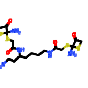 NCCC(CCCCNC(=O)CSC1(N)SCC1=O)NC(=O)CSC1(N)SCC1=O